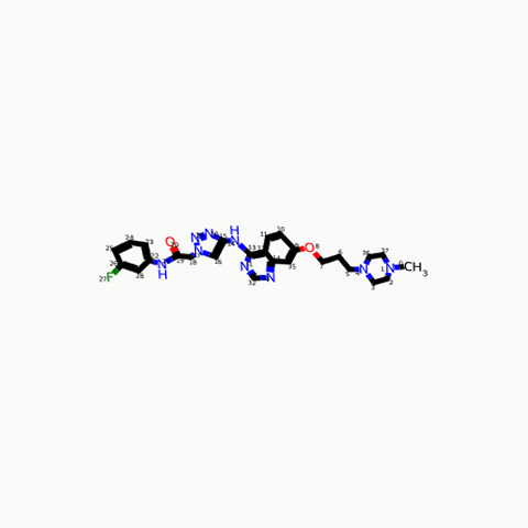 CN1CCN(CCCOc2ccc3c(Nc4cn(CC(=O)Nc5cccc(F)c5)nn4)ncnc3c2)CC1